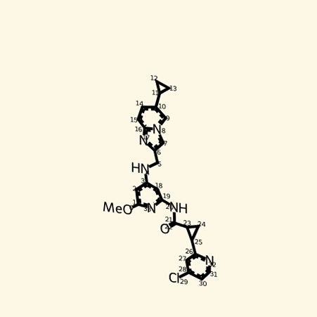 COc1cc(NCc2cn3cc(C4CC4)ccc3n2)cc(NC(=O)C2CC2c2cc(Cl)ccn2)n1